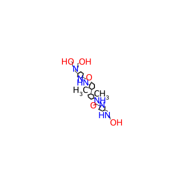 Cc1c(NC(=O)c2ccc(CNCCO)cn2)cccc1-c1cccc(NC(=O)c2ccc(CN(CCO)CCO)cn2)c1C